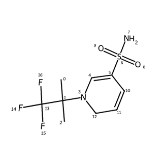 CC(C)(N1C=C(S(N)(=O)=O)C=CC1)C(F)(F)F